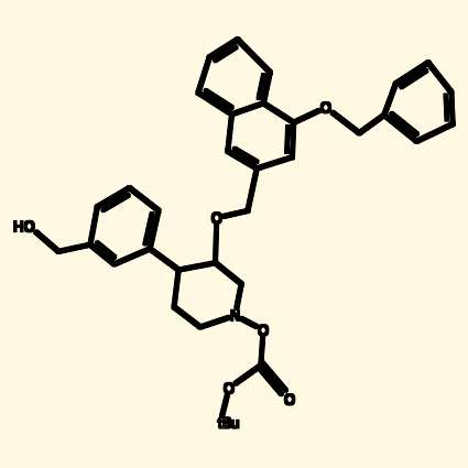 CC(C)(C)OC(=O)ON1CCC(c2cccc(CO)c2)C(OCc2cc(OCc3ccccc3)c3ccccc3c2)C1